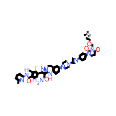 Cc1cccc(NC(=O)c2ccc(-c3nn4c(c3C(N)=O)Nc3ccc(N5CCN(C6CN(c7ccc(N8CCC(=O)N(COCC[Si](C)(C)C)C8=O)cc7)C6)CC5)cc3CC4)c(F)c2C)n1